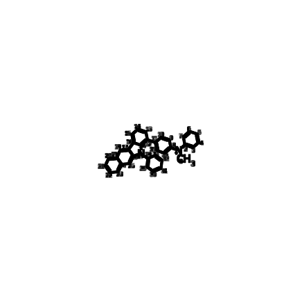 CN(c1ccccc1)c1ccc(-c2cccc3c4cc5ccccc5cc4n(-c4ccccc4)c23)cc1